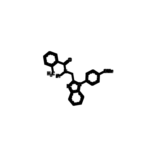 COc1ccc(-n2c(CN(C(=O)c3ccccc3C)C(C)C)nc3ccccc32)cc1